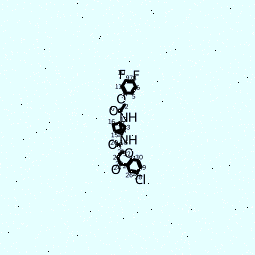 O=C(COc1ccc(F)c(F)c1)NC12CC(C1)C(NC(=O)[C@H]1CC(=O)c3cc(Cl)ccc3O1)C2